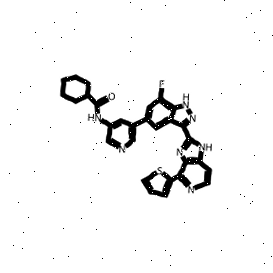 O=C(Nc1cncc(-c2cc(F)c3[nH]nc(-c4nc5c(-c6cccs6)nccc5[nH]4)c3c2)c1)C1CCCCC1